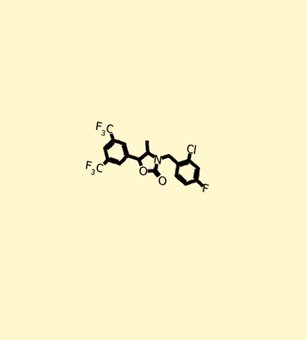 CC1C(c2cc(C(F)(F)F)cc(C(F)(F)F)c2)OC(=O)N1Cc1ccc(F)cc1Cl